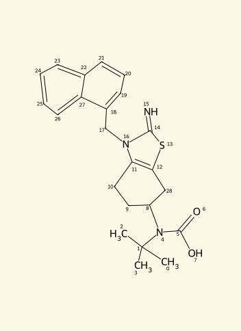 CC(C)(C)N(C(=O)O)C1CCc2c(sc(=N)n2Cc2cccc3ccccc23)C1